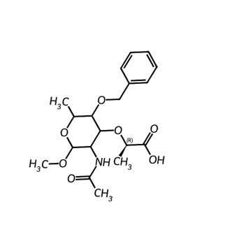 COC1OC(C)C(OCc2ccccc2)C(O[C@H](C)C(=O)O)C1NC(C)=O